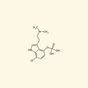 CN(C)CCc1c[nH]c2c(Cl)ccc(OP(=O)(O)O)c12